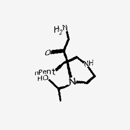 CCCCCC1(C(=O)CN)CNCCN1C(C)O